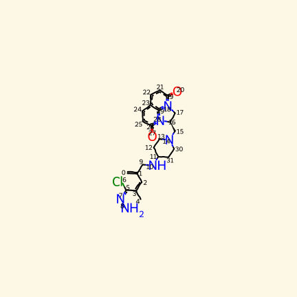 C=C(/C=C(C)\C(Cl)=N/N)CNC1CCN(C[C@@H]2Cn3c(=O)ccc4ccc(=O)n2c43)CC1